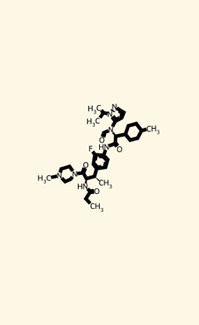 CCC(=O)N[C@@H](C(=O)N1CCN(C)CC1)[C@@H](C)c1ccc(NC(=O)[C@H](C2CCC(C)CC2)N(C=O)c2ccnn2C(C)C)c(F)c1